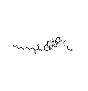 CC(C)CCCC(C)[C@H]1CC[C@H]2[C@@H]3CC=C4C[C@@H](OC(=O)NCCCOCCO)CC[C@]4(C)[C@H]3CC[C@]12C